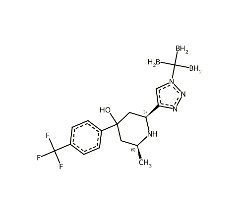 BC(B)(B)n1cc([C@@H]2CC(O)(c3ccc(C(F)(F)F)cc3)C[C@H](C)N2)nn1